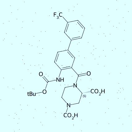 CC(C)(C)OC(=O)Nc1ccc(-c2cccc(C(F)(F)F)c2)cc1C(=O)N1CCN(C(=O)O)C[C@H]1C(=O)O